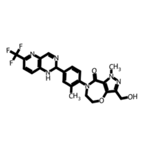 Cc1cc(C2N=Cc3nc(C(F)(F)F)ccc3N2)ccc1N1CCOc2c(CO)nn(C)c2C1=O